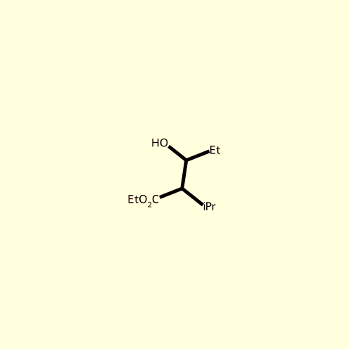 CCOC(=O)C(C(C)C)C(O)CC